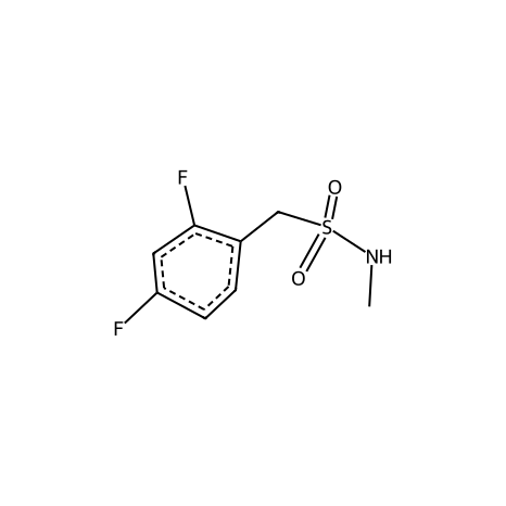 CNS(=O)(=O)Cc1ccc(F)cc1F